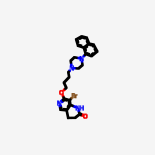 O=C1CCc2cnc(OCCCCN3CCN(c4cccc5ccccc45)CC3)c(Br)c2N1